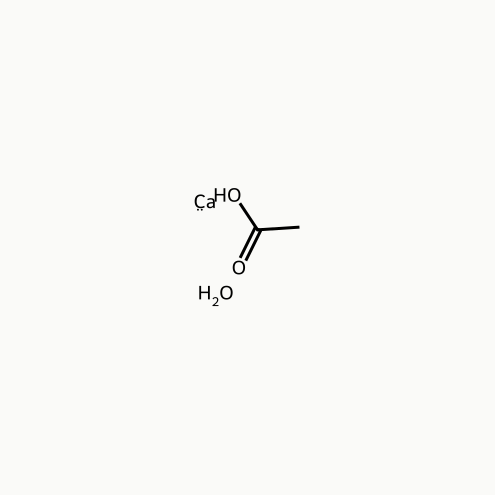 CC(=O)O.O.[Ca]